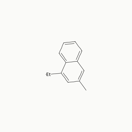 C[CH]c1cc(C)cc2ccccc12